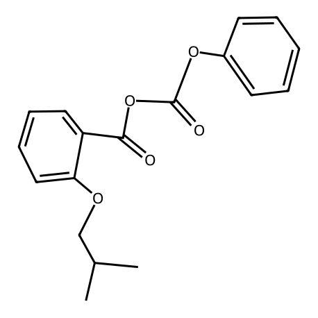 CC(C)COc1ccccc1C(=O)OC(=O)Oc1ccccc1